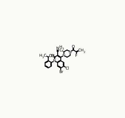 C=C(F)C(=O)N1CCN(c2c(C#N)c(=O)n(-c3ccccc3C(C)C)c3cc(Br)c(Cl)cc23)[C@@H](C)C1